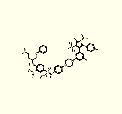 CCOP(=O)(Nc1ccc(N2CCN(c3cc(F)cc(-c4c(S(C)(=O)=O)c(C)n(C(C)C)c4-c4ccc(Cl)cc4)c3)CC2)cc1)c1ccc(NC(CCN(C)C)CSc2ccccc2)c([N+](=O)[O-])c1